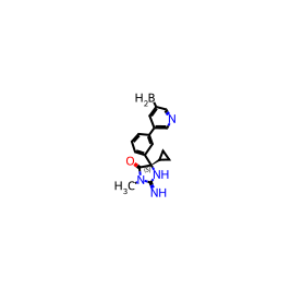 Bc1cncc(-c2cccc([C@]3(C4CC4)NC(=N)N(C)C3=O)c2)c1